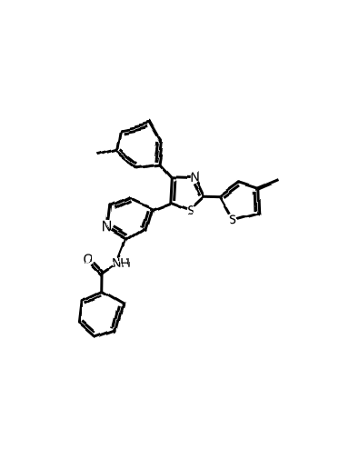 Cc1cccc(-c2nc(-c3cc(C)cs3)sc2-c2ccnc(NC(=O)c3ccccc3)c2)c1